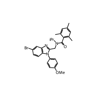 COc1ccc(-n2c(CN(C(=O)c3c(C)cc(C)cc3C)C(C)C)nc3cc(Br)ccc32)cc1